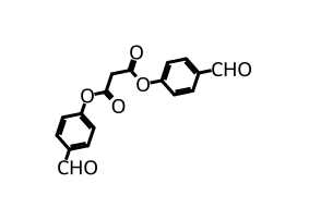 O=Cc1ccc(OC(=O)CC(=O)Oc2ccc(C=O)cc2)cc1